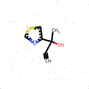 C#CC(C)(O)c1cscn1